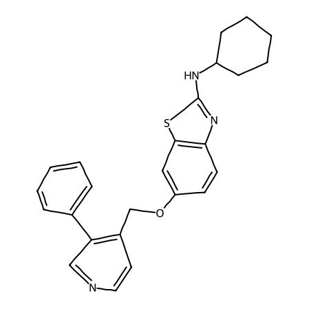 c1ccc(-c2cnccc2COc2ccc3nc(NC4CCCCC4)sc3c2)cc1